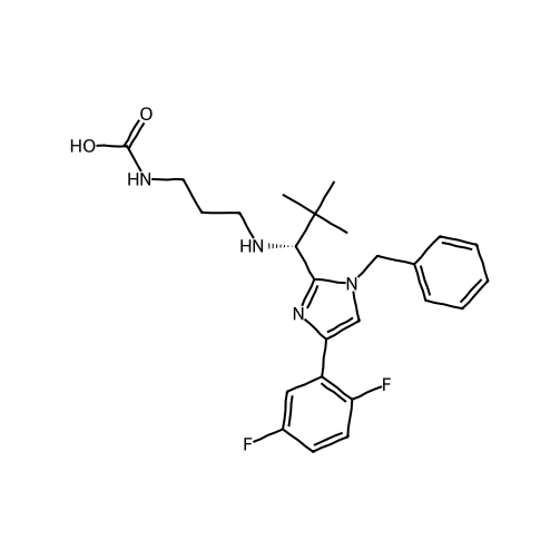 CC(C)(C)[C@@H](NCCCNC(=O)O)c1nc(-c2cc(F)ccc2F)cn1Cc1ccccc1